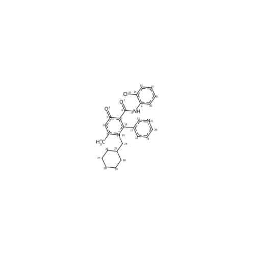 Cc1cc(=O)c(C(=O)Nc2ccccc2Cl)c(-c2cccnc2)n1CC1CCCCC1